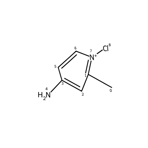 Cc1cc(N)cc[n+]1Cl